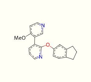 COc1ccncc1-c1cccnc1Oc1ccc2c(c1)CCC2